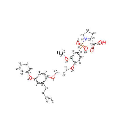 CCCc1cc(Oc2ccccc2)ccc1OCCCOc1ccc(S(=O)(=O)N2CCC[C@@H]2C(=O)O)cc1OC